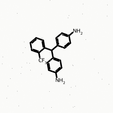 Nc1ccc(C(c2ccc(N)cc2)c2ccccc2C(F)(F)F)cc1